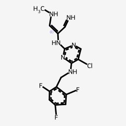 CN/C=C(\C=N)Nc1ncc(Cl)c(NCc2c(F)cc(F)cc2F)n1